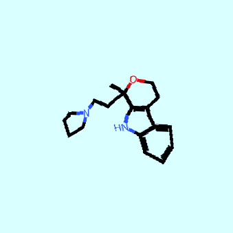 CC1(CCN2CCCC2)OCCc2c1[nH]c1ccccc21